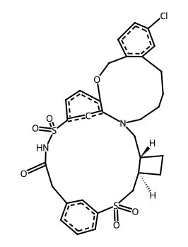 O=C1Cc2cccc(c2)S(=O)(=O)C[C@@H]2CC[C@H]2CN2CCCCc3cc(Cl)ccc3COc3ccc(cc32)S(=O)(=O)N1